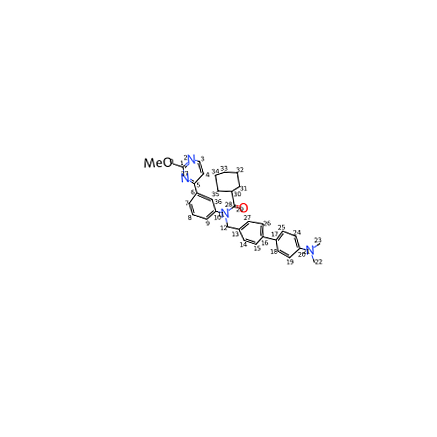 COc1nccc(-c2cccc(N(Cc3ccc(-c4ccc(N(C)C)cc4)cc3)C(=O)C3CCCCC3)c2)n1